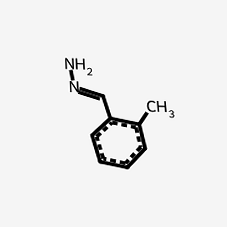 Cc1ccccc1C=NN